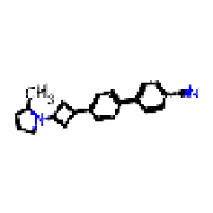 CC1CCCN1C1CC(c2ccc(-c3ccc(C#N)cc3)cc2)C1